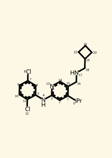 CC(C)c1cc(Nc2cc(Cl)ccc2Cl)ncc1CNCC1CCC1